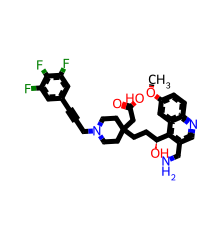 COc1ccc2ncc(CN)c([C@H](O)CCC3(CC(=O)O)CCN(CC#Cc4cc(F)c(F)c(F)c4)CC3)c2c1